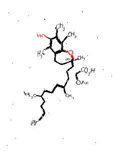 CC(=O)OCC(=O)O.Cc1c(C)c2c(c(C)c1O)CC[C@@](C)(CCCC(C)CCCC(C)CCCC(C)C)O2